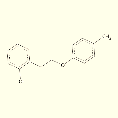 Cc1ccc(OCCc2ccccc2[O])cc1